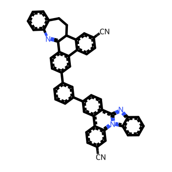 N#Cc1ccc2c(c1)C1CCc3ccccc3N=C1c1ccc(-c3cccc(-c4ccc5c(c4)c4ccc(C#N)cc4n4c6ccccc6nc54)c3)cc1-2